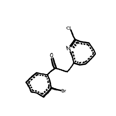 O=C(Cc1cccc(Cl)n1)c1ccccc1Br